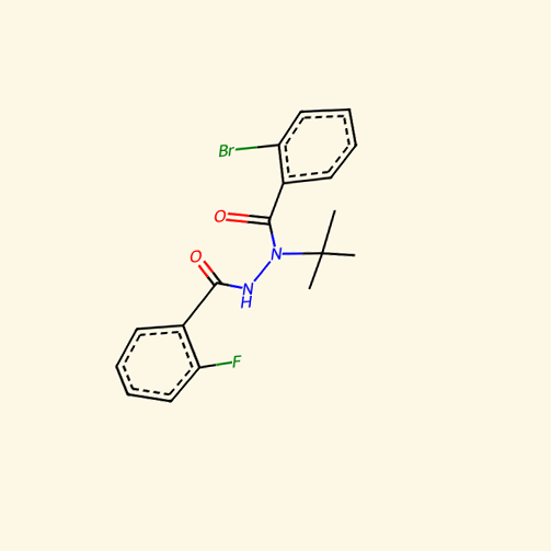 CC(C)(C)N(NC(=O)c1ccccc1F)C(=O)c1ccccc1Br